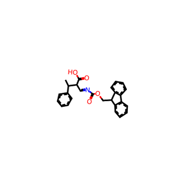 CC(c1ccccc1)C(C=NC(=O)OCC1c2ccccc2-c2ccccc21)C(=O)O